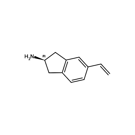 C=Cc1ccc2c(c1)C[C@H](N)C2